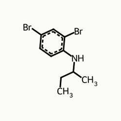 CCC(C)Nc1ccc(Br)cc1Br